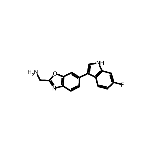 NCc1nc2ccc(-c3c[nH]c4cc(F)ccc34)cc2o1